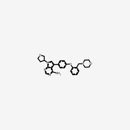 Nc1ncnc2c1c(-c1ccc(Oc3ccccc3CN3CCOCC3)cc1)cn2C1CCOC1